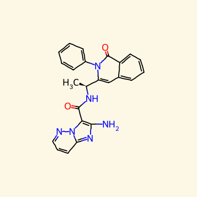 C[C@H](NC(=O)c1c(N)nc2cccnn12)c1cc2ccccc2c(=O)n1-c1ccccc1